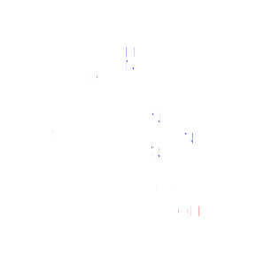 CN1CCC[C@H](C(=O)O)C1Nc1nc2c(I)c[nH]c(=O)c2c2cc(Br)ccc12